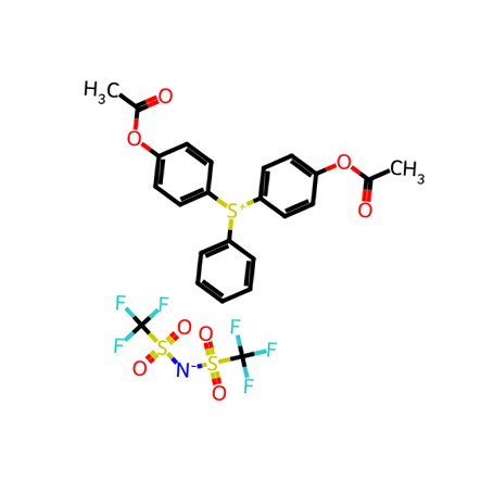 CC(=O)Oc1ccc([S+](c2ccccc2)c2ccc(OC(C)=O)cc2)cc1.O=S(=O)([N-]S(=O)(=O)C(F)(F)F)C(F)(F)F